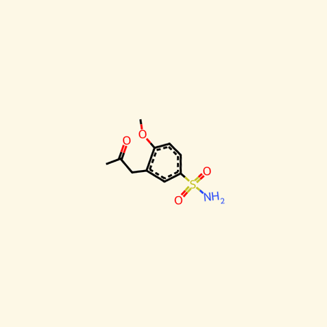 COc1ccc(S(N)(=O)=O)cc1CC(C)=O